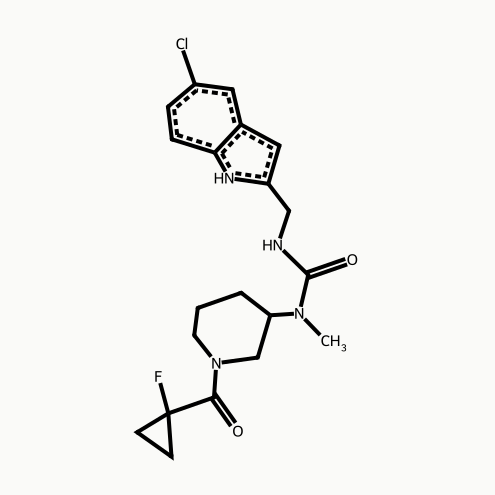 CN(C(=O)NCc1cc2cc(Cl)ccc2[nH]1)C1CCCN(C(=O)C2(F)CC2)C1